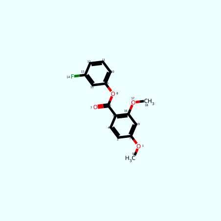 COc1ccc(C(=O)Oc2cccc(F)c2)c(OC)c1